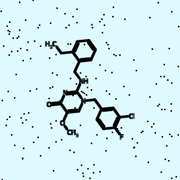 CCc1ccccc1CNc1nc(=O)c(OC)cn1Cc1ccc(F)c(Cl)c1